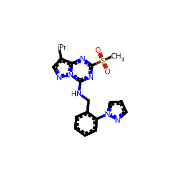 CC(C)c1cnn2c(NCc3ccccc3-n3cccn3)nc(S(C)(=O)=O)nc12